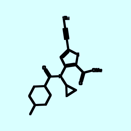 COC(=O)c1sc(C#CC(C)(C)C)cc1N(C(=O)C1CCC(C)CC1)C1CC1